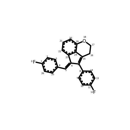 Fc1ccc(C=C2C(c3ccc(F)cc3)=C3CCOc4cccc2c43)cc1